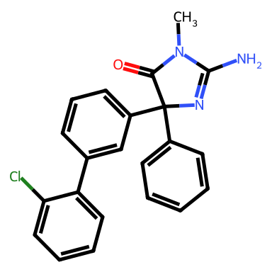 CN1C(=O)C(c2ccccc2)(c2cccc(-c3ccccc3Cl)c2)N=C1N